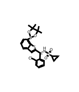 CC1(C)OB(c2cccc3cc([C@H](NS(=O)(=O)C4CC4)c4ccccc4Cl)sc23)OC1(C)C